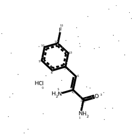 Cl.NC(=O)C(N)=Cc1cccc(F)c1